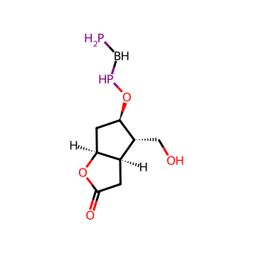 O=C1C[C@@H]2[C@@H](CO)[C@H](OPBP)C[C@@H]2O1